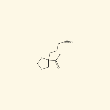 CCCCCCCCCCC1(C(=O)Cl)CCCC1